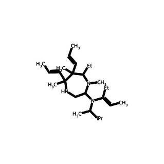 CC=CC1(C)NCC(N(/C(=C/C)CC)C(C)C(C)C)N(C)C(CC)C1(C)C=CC